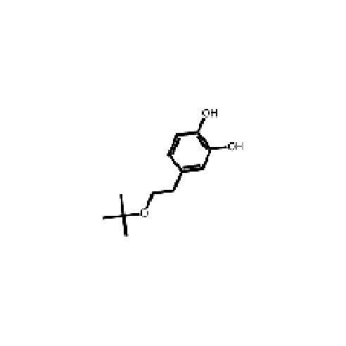 CC(C)(C)OCCc1ccc(O)c(O)c1